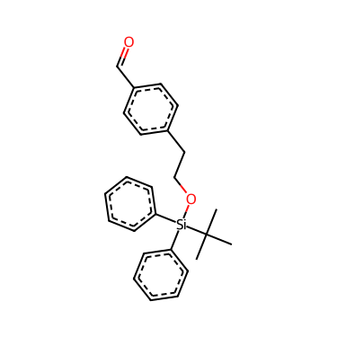 CC(C)(C)[Si](OCCc1ccc(C=O)cc1)(c1ccccc1)c1ccccc1